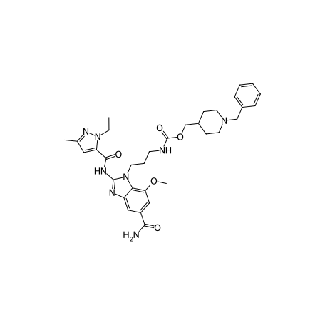 CCn1nc(C)cc1C(=O)Nc1nc2cc(C(N)=O)cc(OC)c2n1CCCNC(=O)OCC1CCN(Cc2ccccc2)CC1